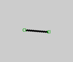 ClCCCCCCCCCCCCCCCCCCCCCCCCl